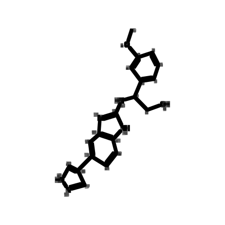 COc1cccc(C(CO)Nc2nc3cc(-c4cn[nH]c4)ccc3[nH]2)c1